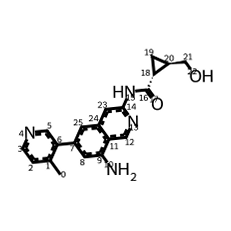 Cc1ccncc1-c1cc(N)c2cnc(NC(=O)[C@@H]3C[C@H]3CO)cc2c1